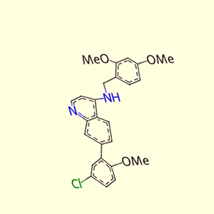 COc1ccc(CNc2ccnc3cc(-c4cc(Cl)ccc4OC)ccc23)c(OC)c1